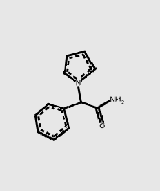 NC(=O)C(c1ccccc1)n1cccc1